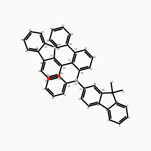 CC1(C)c2ccccc2-c2ccc(N(c3ccccc3)c3cccc(-c4ccccc4)c3-c3cccc4c3oc3ccccc34)cc21